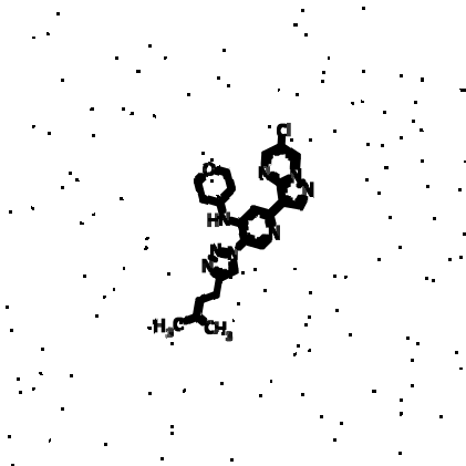 CC(C)CCc1cn(-c2cnc(-c3cnn4cc(Cl)cnc34)cc2NC2CCOCC2)nn1